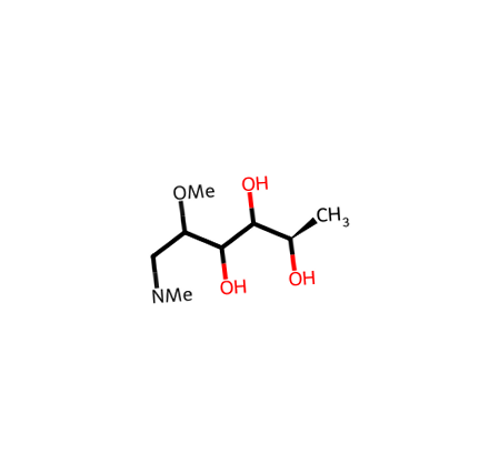 CNCC(OC)C(O)C(O)[C@@H](C)O